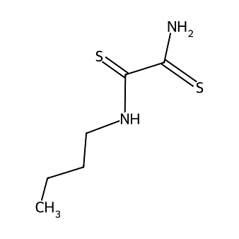 CCCCNC(=S)C(N)=S